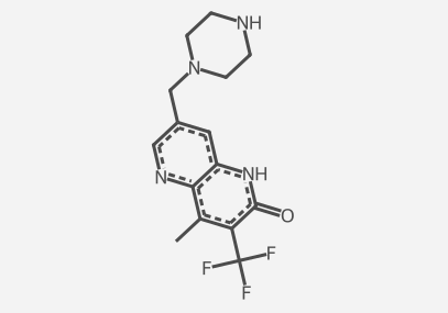 Cc1c(C(F)(F)F)c(=O)[nH]c2cc(CN3CCNCC3)cnc12